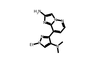 CCn1cc(N(C)C)c(-c2ccnn3cc(N)nc23)n1